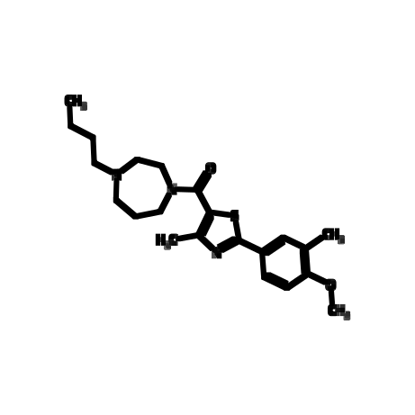 CCCCN1CCCN(C(=O)c2sc(-c3ccc(OC)c(C)c3)nc2C)CC1